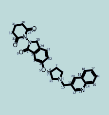 O=C1c2cc(O[C@@H]3CCN(Cc4cnc5ccccc5c4)C3)ccc2CN1N1C(=O)CCCC1=O